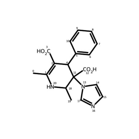 CC1=C(C(=O)O)C(c2ccccc2)C(C(=O)O)(n2ccnc2)C(C)N1